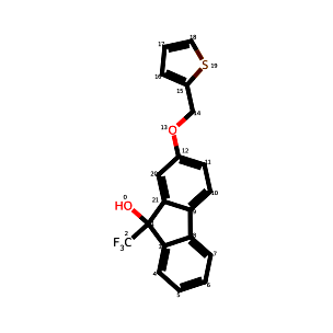 OC1(C(F)(F)F)c2ccccc2-c2ccc(OCc3cccs3)cc21